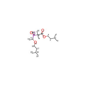 CC(C)CCOC(=O)C(C)(C)[PH](=O)C(C)OCCC(C)C